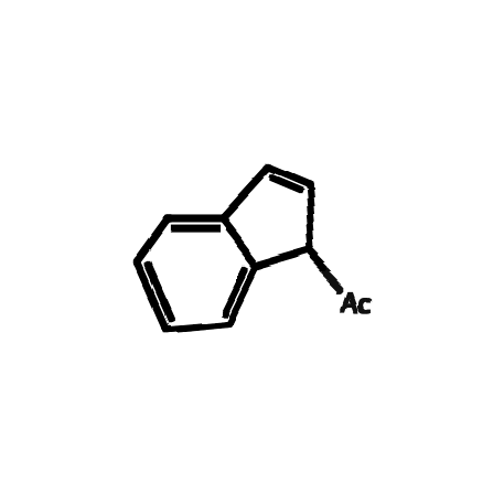 CC(=O)C1C=Cc2ccccc21